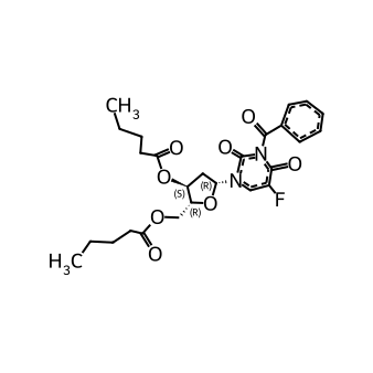 CCCCC(=O)OC[C@H]1O[C@@H](n2cc(F)c(=O)n(C(=O)c3ccccc3)c2=O)C[C@@H]1OC(=O)CCCC